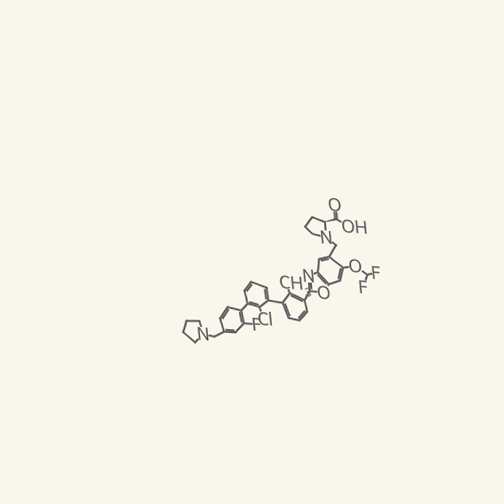 Cc1c(-c2nc3cc(CN4CCC[C@H]4C(=O)O)c(OC(F)F)cc3o2)cccc1-c1cccc(-c2ccc(CN3CCCC3)cc2F)c1Cl